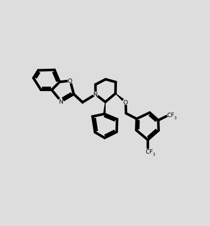 FC(F)(F)c1cc(CO[C@@H]2CCCN(Cc3nc4ccccc4o3)[C@@H]2c2ccccc2)cc(C(F)(F)F)c1